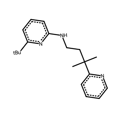 CC(C)(C)c1cccc(NCCC(C)(C)c2ccccn2)n1